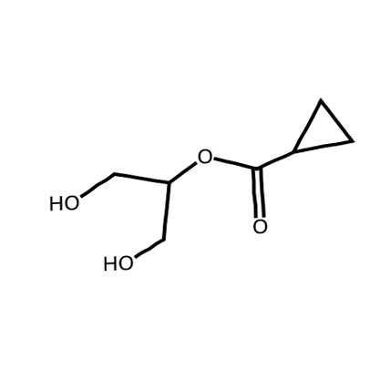 O=C(OC(CO)CO)C1CC1